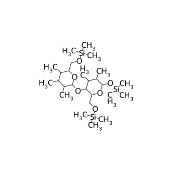 CC1C(CO[Si](C)(C)C)OC(OC2C(CO[Si](C)(C)C)OC(O[Si](C)(C)C)C(C)C2C)C(C)C1C